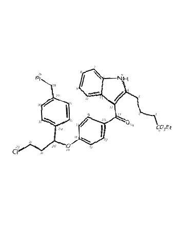 CCOC(=O)CCCc1[nH]c2ccccc2c1C(=O)c1ccc(OC(CCCl)c2ccc(CC(C)C)cc2)cc1